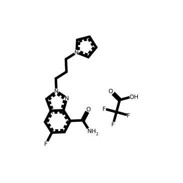 NC(=O)c1cc(F)cc2cn(CCCn3cccc3)nc12.O=C(O)C(F)(F)F